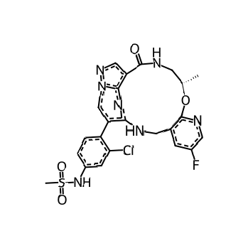 C[C@H]1CNC(=O)c2cnn3cc(-c4ccc(NS(C)(=O)=O)cc4Cl)c(nc23)NCc2cc(F)cnc2O1